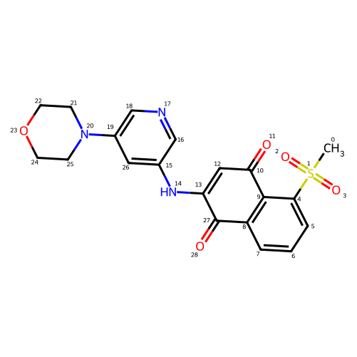 CS(=O)(=O)c1cccc2c1C(=O)C=C(Nc1cncc(N3CCOCC3)c1)C2=O